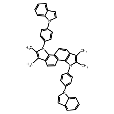 Cc1c(C)n(-c2ccc(-n3ccc4ccccc43)cc2)c2c1ccc1c2ccc2c(C)c(C)n(-c3ccc(-n4ccc5ccccc54)cc3)c21